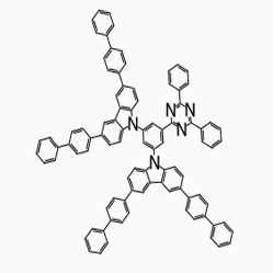 c1ccc(-c2ccc(-c3ccc4c(c3)c3cc(-c5ccc(-c6ccccc6)cc5)ccc3n4-c3cc(-c4nc(-c5ccccc5)nc(-c5ccccc5)n4)cc(-n4c5ccc(-c6ccc(-c7ccccc7)cc6)cc5c5cc(-c6ccc(-c7ccccc7)cc6)ccc54)c3)cc2)cc1